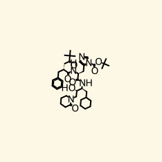 CC(C)(C)OC(=O)n1cncc1C[C@H](NC(=O)[C@@H](CC(=O)C(C)(C)C)Cc1ccccc1)C(=O)N[C@@H](CC1CCCCC1)[C@@H](O)CN1CCCCC1=O